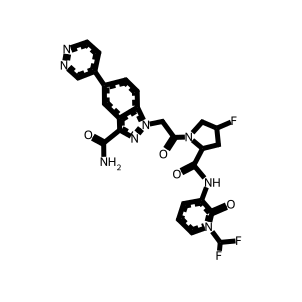 NC(=O)c1nn(CC(=O)N2CC(F)CC2C(=O)Nc2cccn(C(F)F)c2=O)c2ccc(-c3ccnnc3)cc12